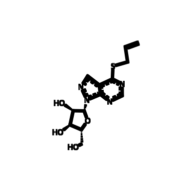 C=CCSc1ncnc2c1cnn2[C@@H]1O[C@H](CO)[C@@H](O)[C@H]1O